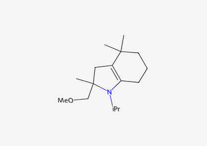 COCC1(C)CC2=C(CCCC2(C)C)N1C(C)C